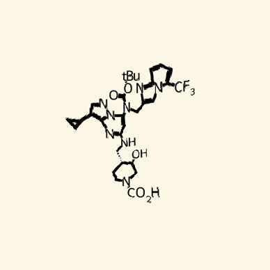 CC(C)(C)OC(=O)N(Cc1cn2c(C(F)(F)F)cccc2n1)c1cc(NC[C@H]2CCN(C(=O)O)C[C@@H]2O)nc2c(C3CC3)cnn12